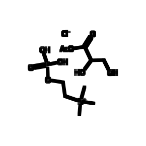 CC(=O)OC(=O)C(O)CO.C[N+](C)(C)CCOP(=O)(O)O.[Cl-]